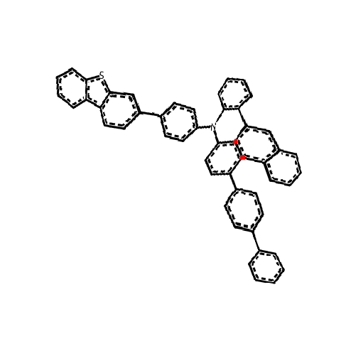 c1ccc(-c2ccc(-c3ccc(N(c4ccc(-c5ccc6c(c5)sc5ccccc56)cc4)c4ccccc4-c4ccc5ccccc5c4)cc3)cc2)cc1